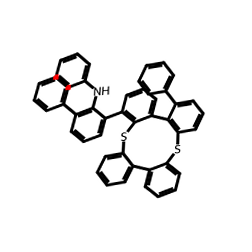 c1ccc(Nc2c(-c3ccccc3)cccc2-c2cccc3c2Sc2ccccc2-c2ccccc2Sc2cccc(-c4ccccc4)c2-3)cc1